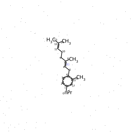 CCCc1ccc(C/C=C(\C)CCC=C(C)C)c(C)c1